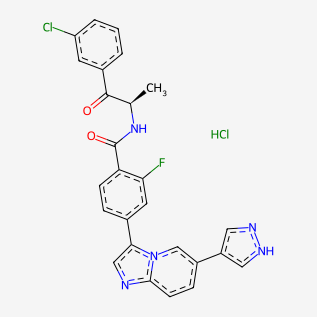 C[C@@H](NC(=O)c1ccc(-c2cnc3ccc(-c4cn[nH]c4)cn23)cc1F)C(=O)c1cccc(Cl)c1.Cl